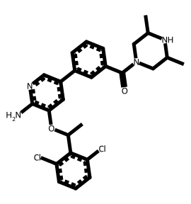 CC1CN(C(=O)c2cccc(-c3cnc(N)c(OC(C)c4c(Cl)cccc4Cl)c3)c2)CC(C)N1